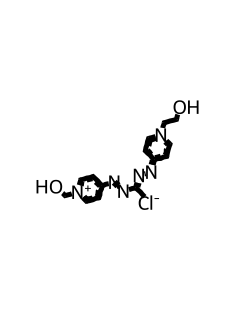 CC(N=Nc1cc[n+](CO)cc1)=NN=c1ccn(CCO)cc1.[Cl-]